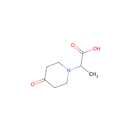 CC(C(=O)O)N1CCC(=O)CC1